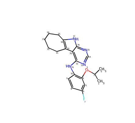 CC(C)Oc1cc(F)ccc1Nc1ncnc2[nH]c3c(c12)CCCCC3